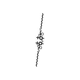 CCCCCCCCCCCCSCCC(=O)Oc1cc(C)c(Sc2cc(C(C)(C)C)c(OC(=O)CSCCCCCCCCCCCC)cc2C)cc1C(C)(C)C